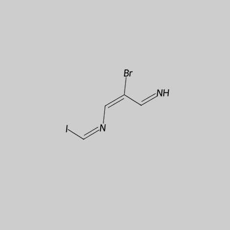 N=C/C(Br)=C\N=C/I